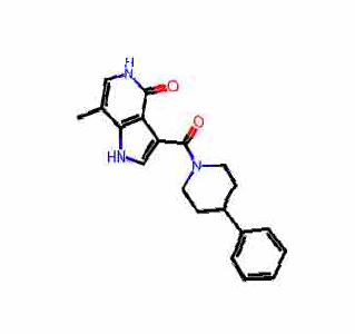 Cc1c[nH]c(=O)c2c(C(=O)N3CCC(c4ccccc4)CC3)c[nH]c12